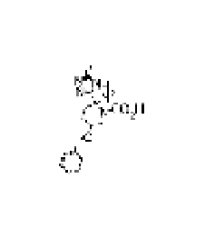 Cn1nnc(C2(N)CCC(OCc3ccccc3)CN2C(=O)O)n1